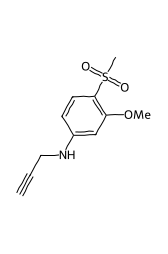 C#CCNc1ccc(S(C)(=O)=O)c(OC)c1